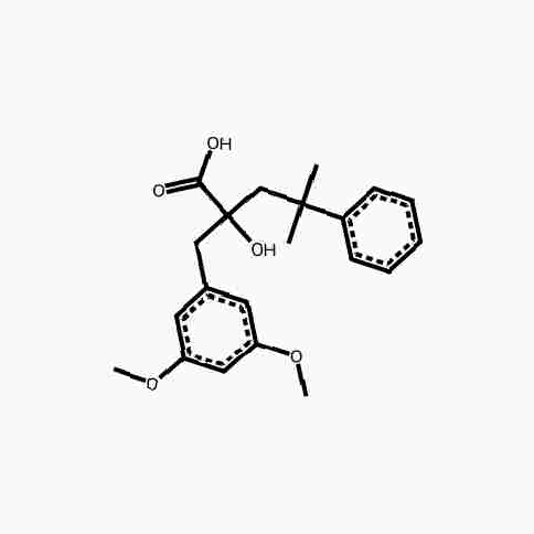 COc1cc(CC(O)(CC(C)(C)c2ccccc2)C(=O)O)cc(OC)c1